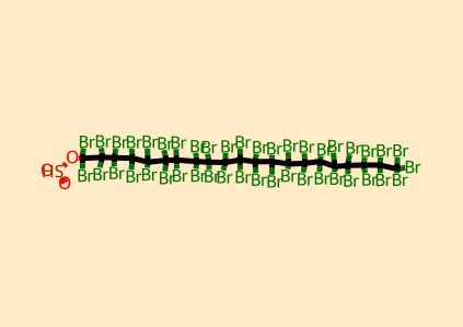 O=[SH](=O)OC(Br)(Br)C(Br)(Br)C(Br)(Br)C(Br)(Br)C(Br)(Br)C(Br)(Br)C(Br)(Br)C(Br)(Br)C(Br)(Br)C(Br)(Br)C(Br)(Br)C(Br)(Br)C(Br)(Br)C(Br)(Br)C(Br)(Br)C(Br)(Br)C(Br)(Br)C(Br)(Br)C(Br)(Br)C(Br)(Br)C(Br)(Br)Br